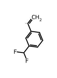 C=[C]c1cccc(C(F)F)c1